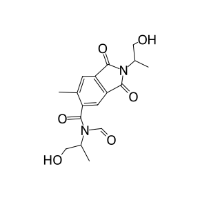 Cc1cc2c(cc1C(=O)N(C=O)C(C)CO)C(=O)N(C(C)CO)C2=O